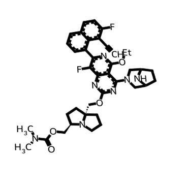 C#Cc1c(F)ccc2cccc(-c3nc(OCC)c4c(N5CC6CCC(C5)N6)nc(OC[C@]56CCCN5[C@@H](COC(=O)N(C)C)CC6)nc4c3F)c12